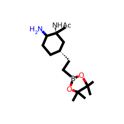 CC(=O)N[C@]1(C)C[C@H](CCB2OC(C)(C)C(C)(C)O2)CCC1N